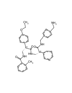 CCOc1ccc([C@@H](CNC(=O)c2ccccc2C)C(=O)NC[C@H](C(=O)NCc2ccc(CN)cc2)c2cccnc2)cc1